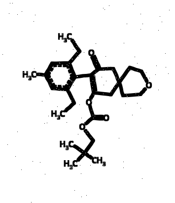 CCc1cc(C)cc(CC)c1C1=C(OC(=O)OCC(C)(C)C)CC2(CCOCC2)CC1=O